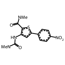 CNC(=O)Nc1cc(-c2ccc([N+](=O)[O-])cc2)sc1C(=O)NC